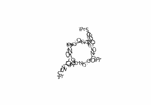 CC(C)C[C@H]1C(=O)O[C@H](Cc2cccc(Cn3cc(SC(C)C)cn3)c2)C(=O)N(C)[C@@H](CC(C)C)C(=O)O[C@H](C)C(=O)N(C)[C@@H](CC(C)C)C(=O)O[C@H](Cc2ccc(Cn3cc(SC(C)C)cn3)cc2)C(=O)N(C)[C@@H](CC(C)C)C(=O)O[C@H](C)C(=O)N1C